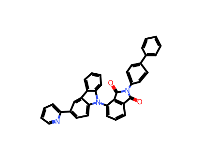 O=C1c2cccc(-n3c4ccccc4c4cc(-c5ccccn5)ccc43)c2C(=O)N1c1ccc(-c2ccccc2)cc1